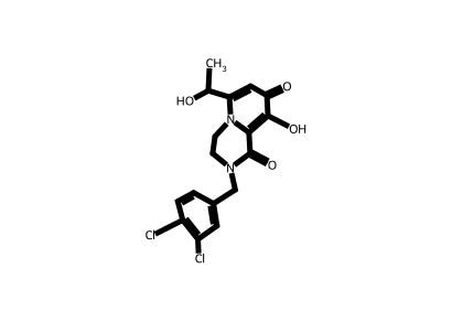 CC(O)c1cc(=O)c(O)c2n1CCN(Cc1ccc(Cl)c(Cl)c1)C2=O